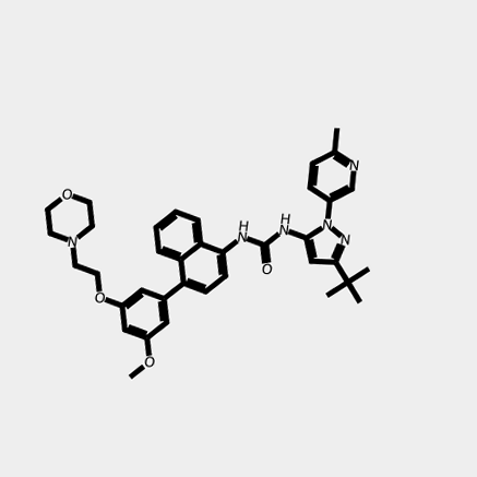 COc1cc(OCCN2CCOCC2)cc(-c2ccc(NC(=O)Nc3cc(C(C)(C)C)nn3-c3ccc(C)nc3)c3ccccc23)c1